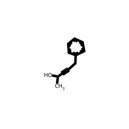 CC(O)C#CCc1ccccc1